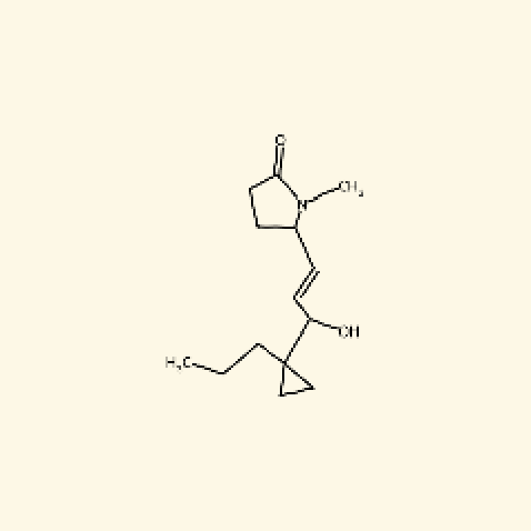 CCCC1(C(O)/C=C/C2CCC(=O)N2C)CC1